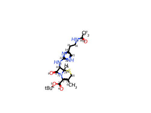 CC1=C(C(=O)OC(C)(C)C)N2C(=O)C(Nc3nc(CCNC(=O)C(F)(F)F)c[nH]3)[C@@H]2SC1